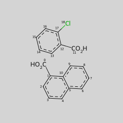 O=C(O)c1cccc2ccccc12.O=C(O)c1ccccc1Cl